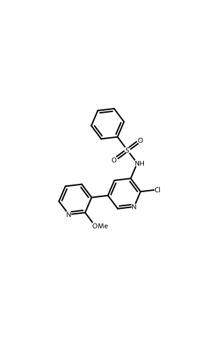 COc1ncccc1-c1cnc(Cl)c(NS(=O)(=O)c2ccccc2)c1